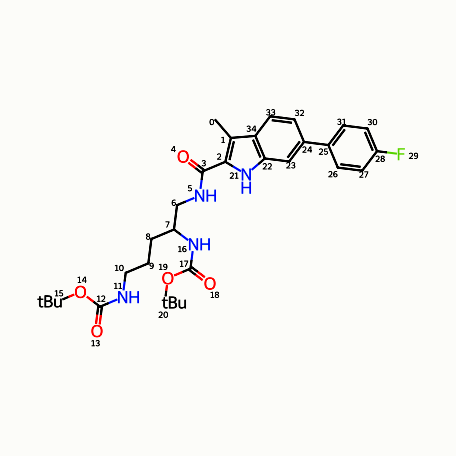 Cc1c(C(=O)NCC(CCCNC(=O)OC(C)(C)C)NC(=O)OC(C)(C)C)[nH]c2cc(-c3ccc(F)cc3)ccc12